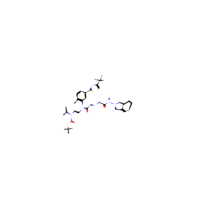 Cc1ccc(-c2nc(C(C)(C)C)cs2)cc1N(CCN(C(=O)OC(C)(C)C)C(C)C)C(=O)CNCC(=O)N(C)N1Cc2ccccc2C1